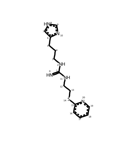 N=C(NCCCc1c[nH]cn1)NCCSc1ccccn1